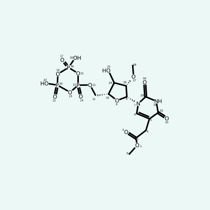 COC(=O)Cc1cn([C@@H]2O[C@H](COP3(=O)OP(=O)(O)OP(=O)(O)O3)C(O)[C@@H]2OC)c(=O)[nH]c1=O